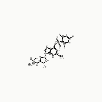 CC[C@H]1O[C@@H](n2cnc3c(OS(=O)(=O)c4c(C)cc(C)cc4C)nc(N)nc32)CC1O[Si](C)(C)C(C)(C)C